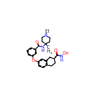 CCN1CCC(C)(NC(=O)c2cccc(Oc3ccc4c(c3)CC(C(=O)NO)CC4)c2)CC1